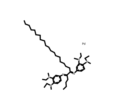 CCCCCCCCCCCCCCCCCCCC(=N\c1ccc(N(C)CC)c(N(C)CC)c1)/C(CCCC)=N/c1ccc(N(C)CC)c(N(C)CC)c1.[Pd]